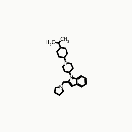 CC(C)C1CCC(N2CCC(n3c(CN4CCCC4)cc4ccccc43)CC2)CC1